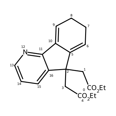 CCOC(=O)CC1(CC(=O)OCC)C2=CCCC=C2c2ncccc21